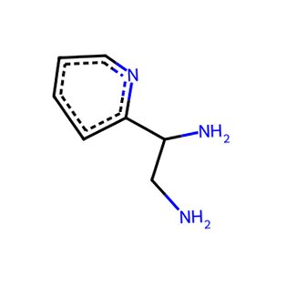 NCC(N)c1ccccn1